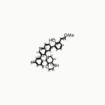 CO/N=C/c1cccc(-c2ccc3ncc(-c4cc(F)cc(F)c4)c(N4CCC5NCCOC5C4)c3c2)c1O